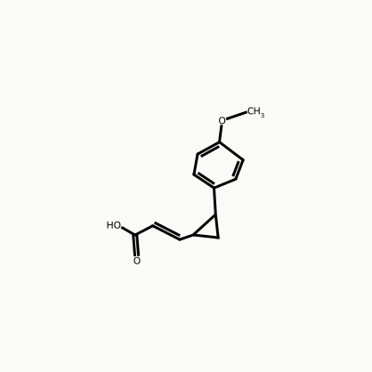 COc1ccc(C2CC2C=CC(=O)O)cc1